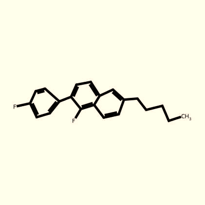 CCCCCc1ccc2c(F)c(-c3ccc(F)cc3)ccc2c1